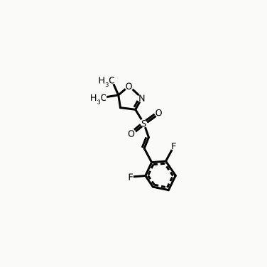 CC1(C)CC(S(=O)(=O)C=Cc2c(F)cccc2F)=NO1